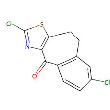 O=C1c2ccc(Cl)cc2CCc2sc(Cl)nc21